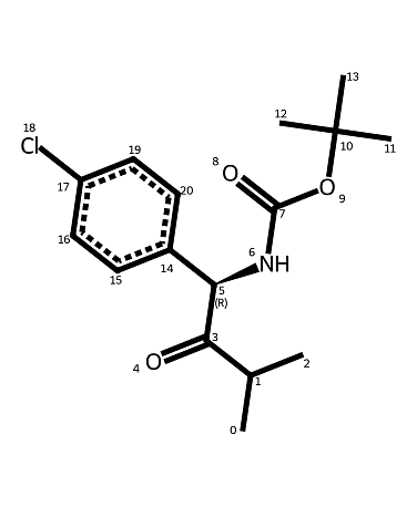 CC(C)C(=O)[C@H](NC(=O)OC(C)(C)C)c1ccc(Cl)cc1